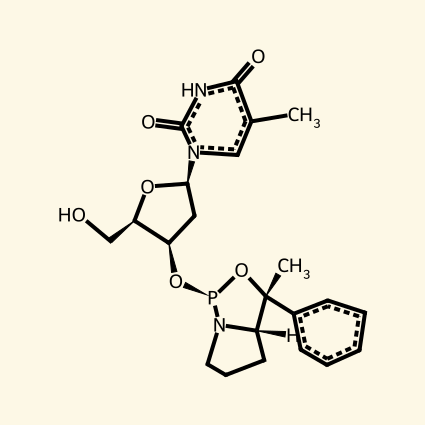 Cc1cn([C@H]2C[C@@H](O[P@@]3O[C@](C)(c4ccccc4)[C@@H]4CCCN43)[C@@H](CO)O2)c(=O)[nH]c1=O